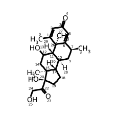 CC1=CC(=O)C=C2[C@@H](C)C[C@@H]3[C@H](C(O)C[C@@]4(C)[C@H]3CC[C@]4(O)C(=O)CO)[C@@]12C